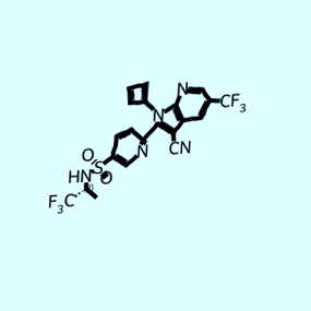 C[C@@H](NS(=O)(=O)c1ccc(-c2c(C#N)c3cc(C(F)(F)F)cnc3n2C2=CC=C2)nc1)C(F)(F)F